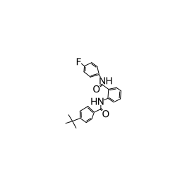 CC(C)(C)c1ccc(C(=O)Nc2ccccc2C(=O)Nc2ccc(F)cc2)cc1